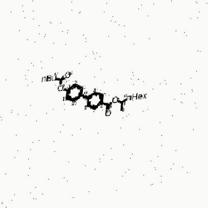 CCCCCCC(C)OC(=O)c1ccc(-c2ccc(OC(=O)CCCC)cc2)cc1